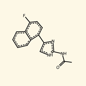 CC(=O)Nc1nc(-c2ccc(F)c3ccccc23)c[nH]1